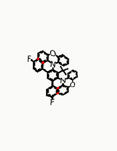 CC(C)(C)c1c(N2c3ccccc3Oc3ccccc32)c(-c2ccc(F)cc2)cc(-c2ccc(F)cc2)c1N1c2ccccc2Oc2ccccc21